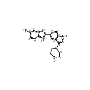 CN1CCC(c2c[nH]c3ccc(-c4nc5cc(F)ccc5[nH]4)cc23)CC1